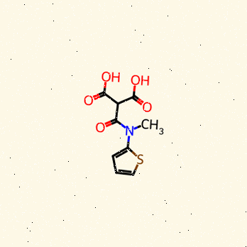 CN(C(=O)C(C(=O)O)C(=O)O)c1cccs1